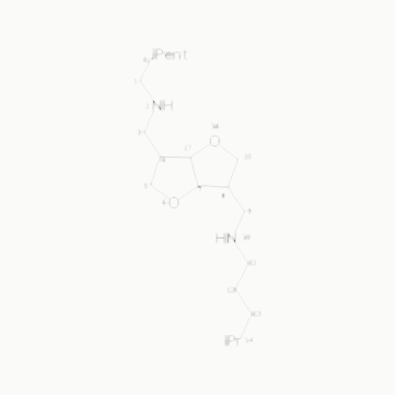 CCCC(C)CNCC1COC2C(CNCCCC(C)C)COC12